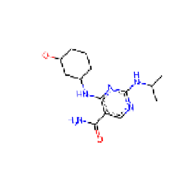 CC(C)Nc1ncc(C(N)=O)c(NC2CCCC(O)C2)n1